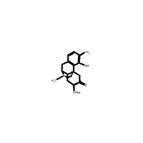 COC1CC2C3Cc4ccc(C)c(O)c4[C@]2(CCN3C)CC1=O